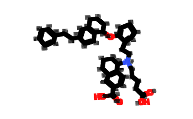 O=C(O)CCCCN(CCc1ccccc1OC1CCCc2cc(CCc3ccccc3)ccc21)C1CCCc2cc(C(=O)O)ccc21